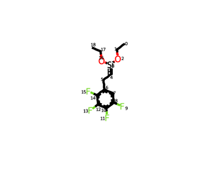 CCO[SiH](CCc1cc(F)c(F)c(F)c1F)OCC